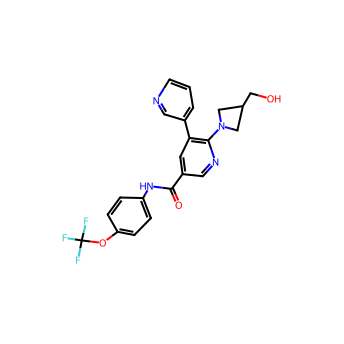 O=C(Nc1ccc(OC(F)(F)F)cc1)c1cnc(N2CC(CO)C2)c(-c2cccnc2)c1